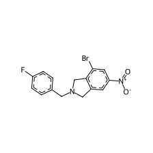 O=[N+]([O-])c1cc(Br)c2c(c1)CN(Cc1ccc(F)cc1)C2